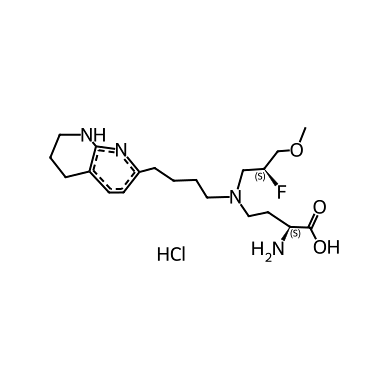 COC[C@@H](F)CN(CCCCc1ccc2c(n1)NCCC2)CC[C@H](N)C(=O)O.Cl